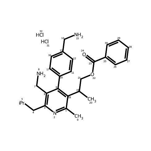 Cc1nc(CC(C)C)c(CN)c(-c2ccc(CN)cc2)c1C(C)COC(=O)c1ccccc1.Cl.Cl